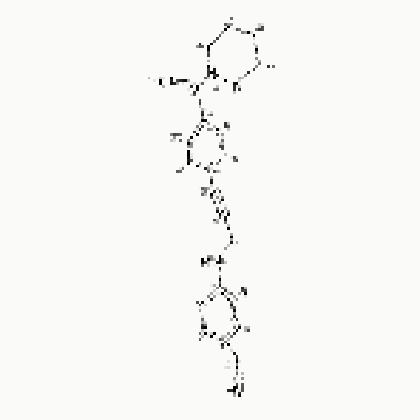 N#Cc1ccc(NCC#Cc2ccc(C(=O)N3CCCCC3)cc2)cc1